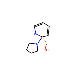 OC[C@@]1(N2CCCC2)C=CC=CN1